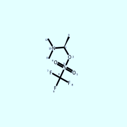 C[C@@H](OS(=O)(=O)C(F)(F)F)N(C)C